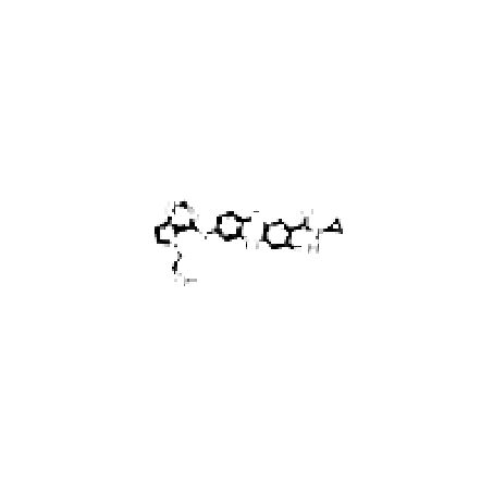 O=C(NC1CC1)c1cc(Oc2ccc(Nc3ncnc4ccn(CCO)c34)cc2Cl)ccc1F